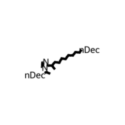 CCCCCCCCCCCCCCCCCCC(C)c1nccn1C(C)CCCCCCCCCC